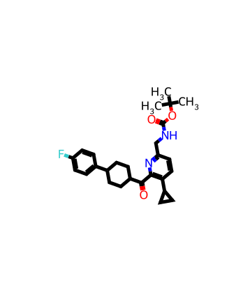 CC(C)(C)OC(=O)NCc1ccc(C2CC2)c(C(=O)C2CCC(c3ccc(F)cc3)CC2)n1